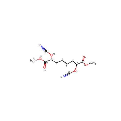 COC(=O)C(CCCCC(OC#N)C(=O)OC)OC#N